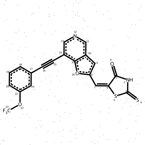 O=C1NC(=S)S/C1=C/c1cc2cncc(C#Cc3cccc(OC(F)(F)F)c3)c2o1